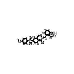 COc1ccc(S(=O)(=O)c2ccc3c(=O)n(Cc4cccc5c4CCN5)ncc3c2)cc1